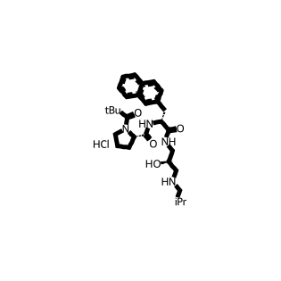 CC(C)CNC[C@@H](O)CNC(=O)[C@@H](Cc1ccc2ccccc2c1)NC(=O)[C@@H]1CCCN1C(=O)C(C)(C)C.Cl